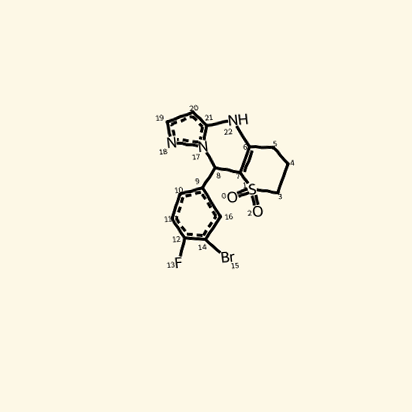 O=S1(=O)CCCC2=C1C(c1ccc(F)c(Br)c1)n1nccc1N2